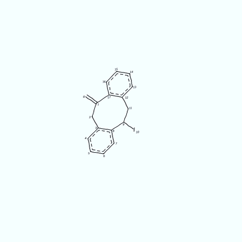 C=C1Cc2ccccc2C(I)Cc2ccccc21